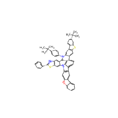 CC(C)(C)c1ccc(N2B3c4cc5nc(-c6ccccc6)sc5cc4-n4c5cc6oc7ccccc7c6cc5c5ccc(c3c54)-c3cc4sc5cc(C(C)(C)C)ccc5c4cc32)cc1